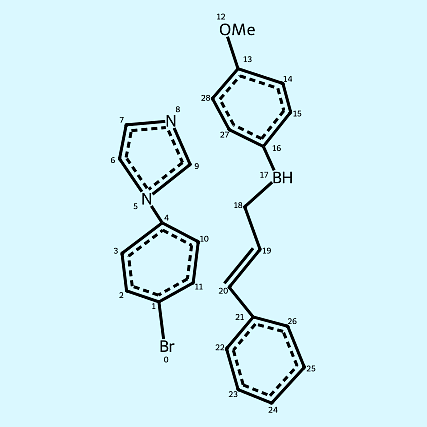 Brc1ccc(-n2ccnc2)cc1.COc1ccc(BCC=Cc2ccccc2)cc1